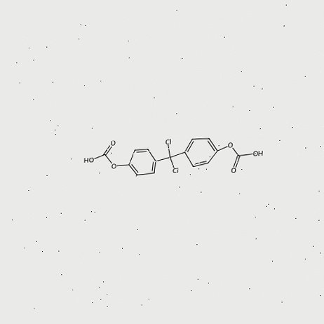 O=C(O)Oc1ccc(C(Cl)(Cl)c2ccc(OC(=O)O)cc2)cc1